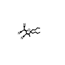 CCCCC1(CCCC)OC(=C(C#N)C#N)C(C#N)=C1C